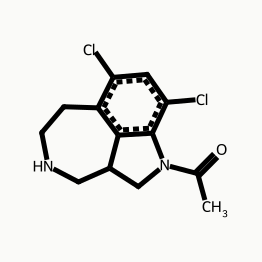 CC(=O)N1CC2CNCCc3c(Cl)cc(Cl)c1c32